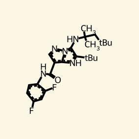 CC(C)(C)CC(C)(C)Nc1c(C(C)(C)C)[nH]c2c(C(=O)Nc3ccc(F)cc3F)cnn12